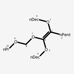 CCCCCCCCCCOC(CCCCC)=C(OCCCCCCCCCC)OCOCCC